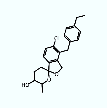 CCc1ccc(Cc2c(Cl)ccc3c2COC32CCC(O)C(C)O2)cc1